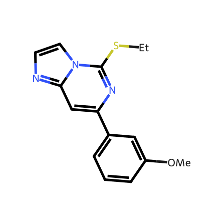 CCSc1nc(-c2cccc(OC)c2)cc2nccn12